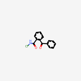 O=C(NCl)c1ccccc1C(=O)c1ccccc1